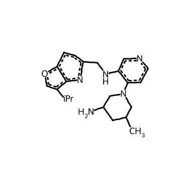 CC1CC(N)CN(c2ccncc2NCc2ccc3occ(C(C)C)c3n2)C1